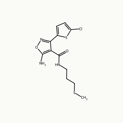 CSCCCNC(=O)c1c(-c2ccc(Cl)s2)noc1N